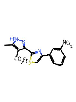 CCOC(=O)c1c(-c2nc(-c3cccc([N+](=O)[O-])c3)cs2)n[nH]c1C